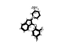 N[C@@H]1CCCN(C2Cc3ccccc3C2Oc2ccc(F)cc2F)C1